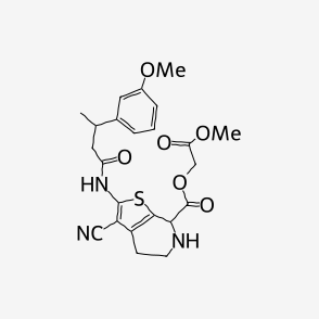 COC(=O)COC(=O)C1NCCc2c1sc(NC(=O)CC(C)c1cccc(OC)c1)c2C#N